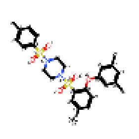 Cc1ccc(S(=O)(=O)N2CCN(S(=O)(=O)c3cc(C#N)ccc3Oc3cc(C)cc(C)c3)CC2)cc1